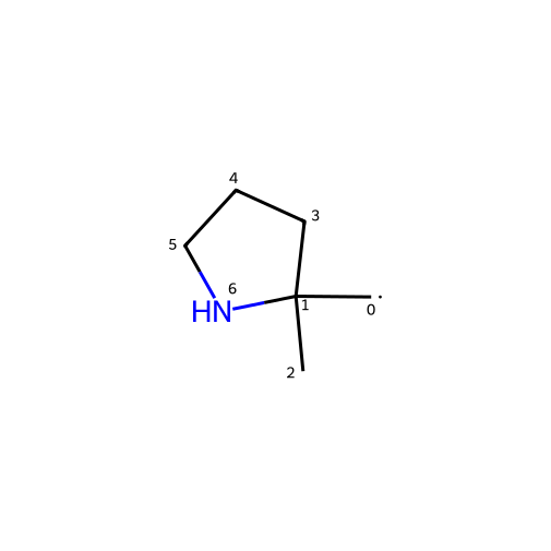 [CH2]C1(C)CCCN1